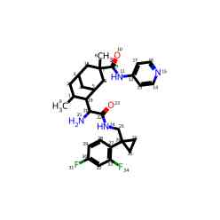 CC1CC2CC(CC(C)(C(=O)Nc3ccncc3)C2)C1C(N)C(=O)NCC1(c2ccc(F)cc2F)CC1